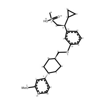 COc1cc([C@H]2CC[C@H](COc3cccc([C@@H](CP(C)(=O)O)C4CC4)c3)CC2)ccn1